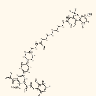 Cc1cc(C)c(CNC(=O)c2cc(-c3ccc(N4CCN(CCNC(=O)CCCCCCCCCC(=O)NC(C(=O)N5C[C@H](O)C[C@H]5C)C(C)(C)C)CC4)nc3)cc(NC(C)C)c2C=N)c(=O)[nH]1